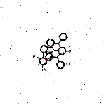 CC(C)c1cc(C(C)C)c(-c2cccc3c[n+](-c4c(C(c5ccccc5)c5ccccc5)cc(F)cc4C(c4ccccc4)c4ccccc4)cn23)c(C(C)C)c1.[Cl-]